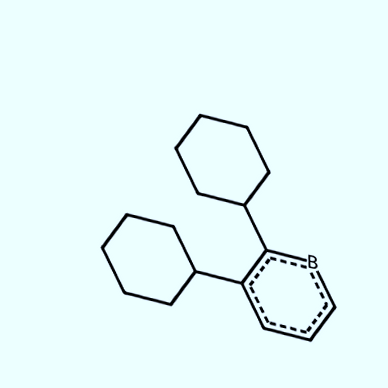 b1cccc(C2CCCCC2)c1C1CCCCC1